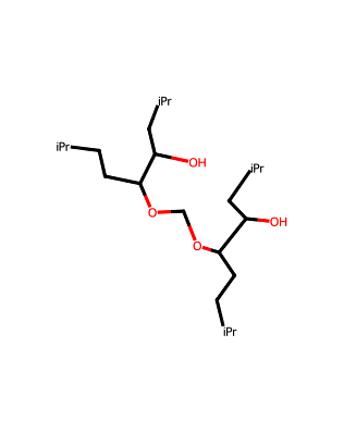 CC(C)CCC(OCOC(CCC(C)C)C(O)CC(C)C)C(O)CC(C)C